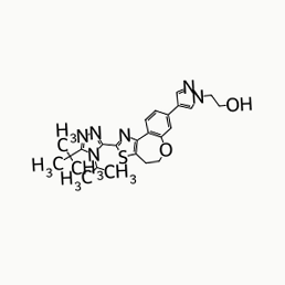 CC(C)n1c(-c2nc3c(s2)CCOc2cc(-c4cnn(CCO)c4)ccc2-3)nnc1C(C)(C)C